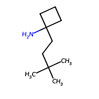 CC(C)(C)CCC1(N)CCC1